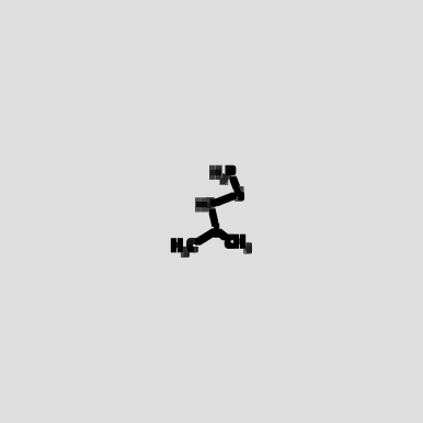 CI(C)PSP